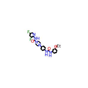 CCOc1cccc(NC(=O)Nc2ccc(N3CCN(C(=O)Nc4ncc(F)cc4F)CC3)cc2)c1